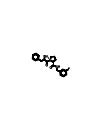 NC(Cc1ccccc1)C(=O)N1CCC[C@H]1C(=O)NCc1cccc(F)c1